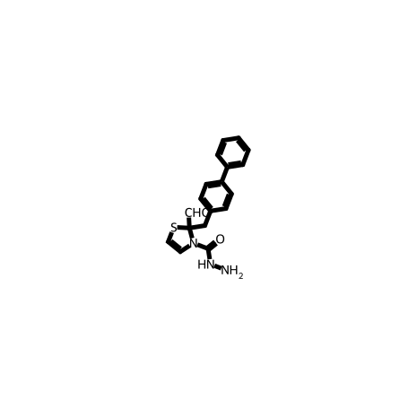 NNC(=O)N1C=CSC1([C]=O)Cc1ccc(-c2ccccc2)cc1